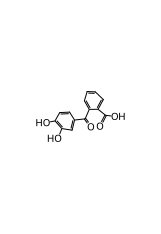 O=C(O)c1ccccc1C(=O)c1ccc(O)c(O)c1